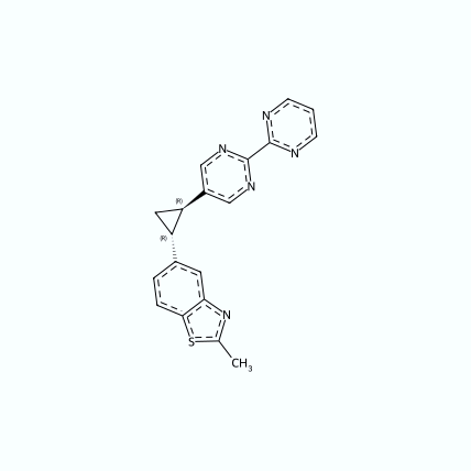 Cc1nc2cc([C@@H]3C[C@H]3c3cnc(-c4ncccn4)nc3)ccc2s1